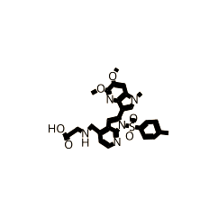 COc1cc2c(nc1OC)c(-c1cc3c(CNCC(=O)O)ccnc3n1S(=O)(=O)c1ccc(C)cc1)cn2C